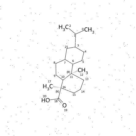 CC(C)C1CCC2C(CCC3[C@]2(C)CCC[C@@]3(C)C(=O)O)C1